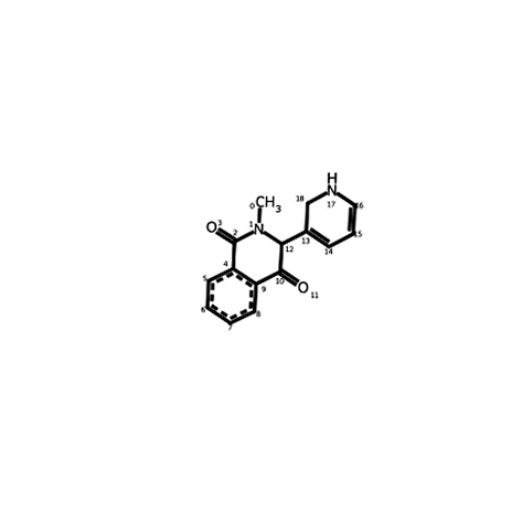 CN1C(=O)c2ccccc2C(=O)C1C1=CC=CNC1